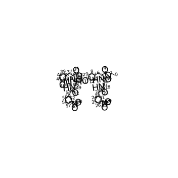 CCOC(=O)[C@H](Cc1ccc(O)cc1)NC(=O)[C@H](C)NC(=O)Cc1cccc([N+](=O)[O-])c1.COC(=O)C(Cc1cccc(O)c1)NC(=O)[C@H](C)NC(=O)Cc1cccc([N+](=O)[O-])c1